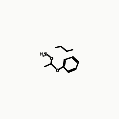 CC(O[SiH3])Oc1ccccc1.CCCC